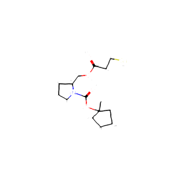 CC1(OC(=O)N2CCCC2COC(=O)CCS)CCCC1